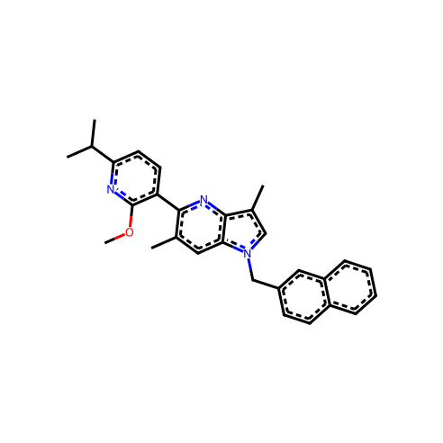 COc1nc(C(C)C)ccc1-c1nc2c(C)cn(Cc3ccc4ccccc4c3)c2cc1C